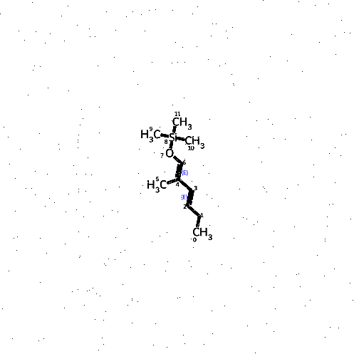 CC/C=C/C(C)=C/O[Si](C)(C)C